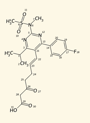 CC(C)c1nc(N(C)S(C)(=O)=O)nc(-c2ccc(F)cc2)c1C=CCCC(=O)CC(=O)O